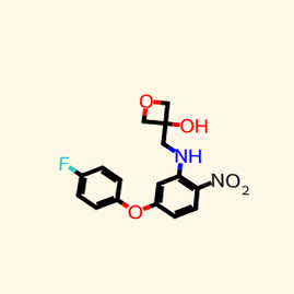 O=[N+]([O-])c1ccc(Oc2ccc(F)cc2)cc1NCC1(O)COC1